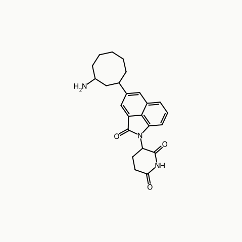 NC1CCCCCC(c2cc3c4c(cccc4c2)N(C2CCC(=O)NC2=O)C3=O)C1